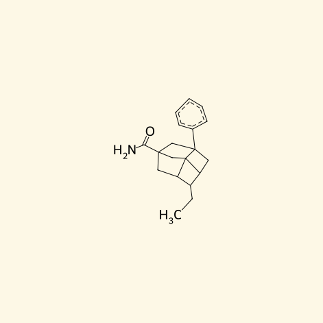 CCC1C2CC3(C(N)=O)CC4(c5ccccc5)CC1C24C3